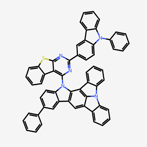 c1ccc(-c2ccc3c(c2)c2cc4c5ccccc5n5c6ccccc6c(c2n3-c2nc(-c3ccc6c(c3)c3ccccc3n6-c3ccccc3)nc3sc6ccccc6c23)c45)cc1